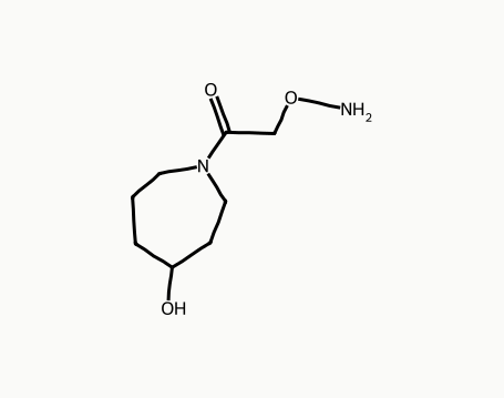 NOCC(=O)N1CCCC(O)CC1